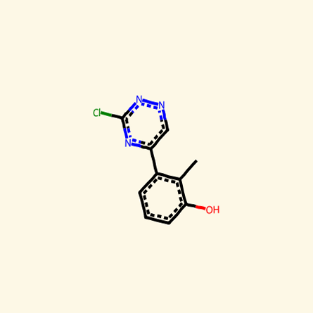 Cc1c(O)cccc1-c1cnnc(Cl)n1